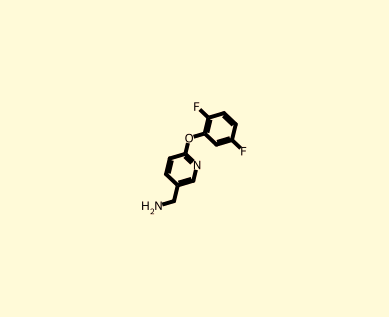 NCc1ccc(Oc2cc(F)ccc2F)nc1